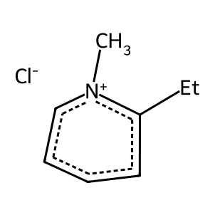 CCc1cccc[n+]1C.[Cl-]